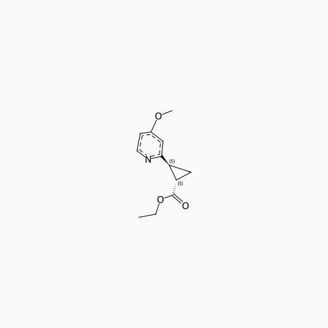 CCOC(=O)[C@H]1C[C@@H]1c1cc(OC)ccn1